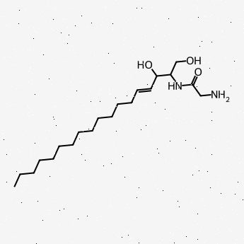 CCCCCCCCCCCCCC=CC(O)C(CO)NC(=O)CN